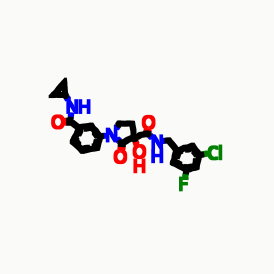 O=C(NC1CC1)c1cccc(N2CCC(O)(C(=O)NCc3cc(F)cc(Cl)c3)C2=O)c1